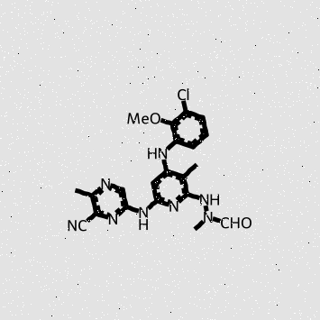 COc1c(Cl)cccc1Nc1cc(Nc2cnc(C)c(C#N)n2)nc(NN(C)C=O)c1C